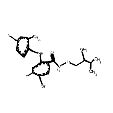 Cc1cc(I)ccc1Nc1cc(F)c(Br)cc1C(=O)NOCC(O)C(C)C